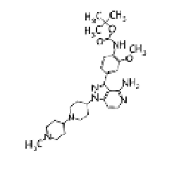 COc1cc(-c2nn(C3CCN(C4CCN(C)CC4)CC3)c3ccnc(N)c23)ccc1NC(=O)OC(C)(C)C